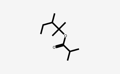 CCC(C)C(C)(C)OC(=O)C(C)C